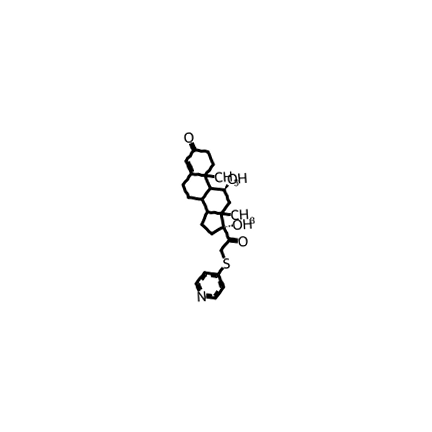 CC12CCC(=O)C=C1CCC1C2[C@@H](O)CC2(C)C1CC[C@]2(O)C(=O)CSc1ccncc1